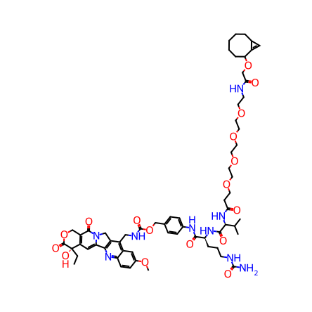 CC[C@@]1(O)C(=O)OCc2c1cc1n(c2=O)Cc2c-1nc1ccc(OC)cc1c2CNC(=O)OCc1ccc(NC(=O)[C@H](CCCNC(N)=O)NC(=O)[C@@H](NC(=O)CCOCCOCCOCCOCCNC(=O)COC2CCCCCC3C=C32)C(C)C)cc1